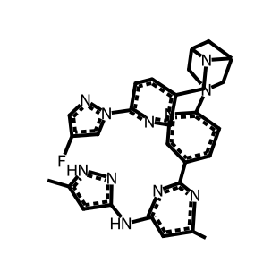 Cc1cc(Nc2cc(C)[nH]n2)nc(-c2ccc(N3CC4CC(C3)N4Cc3ccc(-n4cc(F)cn4)nc3)nc2)n1